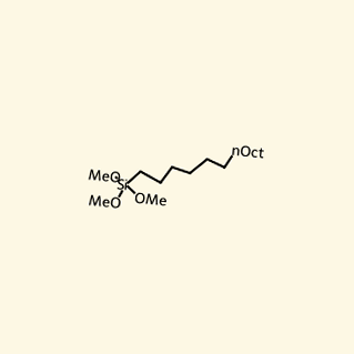 CCCCCCCCCCCCCC[Si](OC)(OC)OC